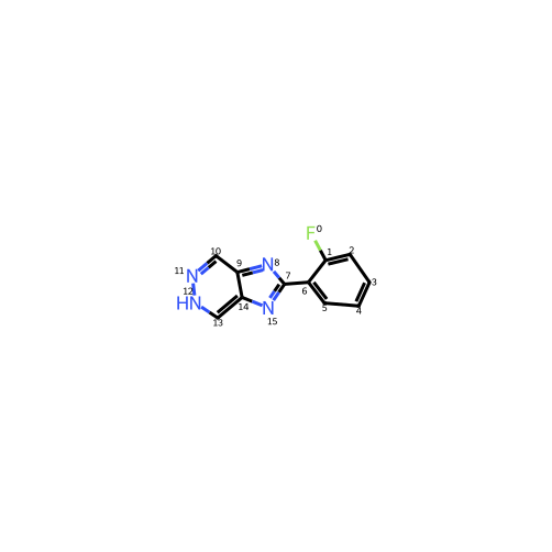 Fc1ccccc1-c1nc2cn[nH]cc-2n1